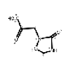 O=C(O)C(=O)CN1OCNC1=O